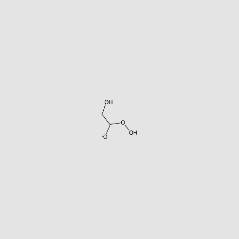 [O]C(CO)OO